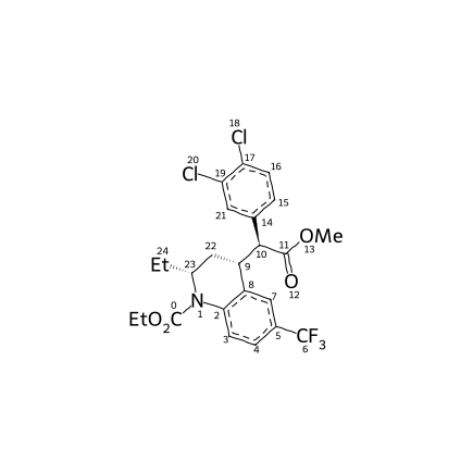 CCOC(=O)N1c2ccc(C(F)(F)F)cc2[C@@H]([C@H](C(=O)OC)c2ccc(Cl)c(Cl)c2)C[C@H]1CC